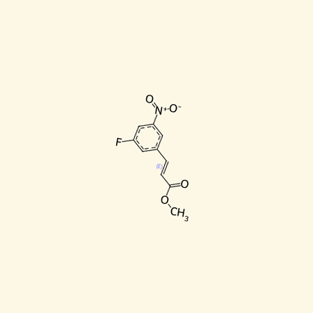 COC(=O)/C=C/c1cc(F)cc([N+](=O)[O-])c1